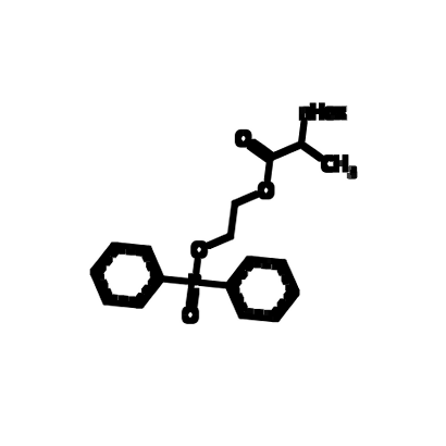 CCCCCCC(C)C(=O)OCCOP(=O)(c1ccccc1)c1ccccc1